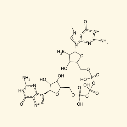 BC1C(O)C(COP(=O)(O)OP(=O)(O)OP(=O)(O)OC[C@H]2O[C@@H](n3cnc4c(=O)[nH]c(N)nc43)C(O)C2O)O[C@H]1n1c[n+](C)c2c(=O)[nH]c(N)nc21